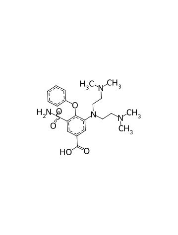 CN(C)CCN(CCN(C)C)c1cc(C(=O)O)cc(S(N)(=O)=O)c1Oc1ccccc1